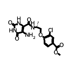 COC(=O)c1ccc(OC[C@@H](C)NC(=O)c2[nH]c(=O)[nH]c(=O)c2N)c(Cl)c1